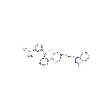 CN(C)c1cccc(Oc2ccccc2N2CCN(CCCc3c[nH]c4ccccc34)CC2)c1